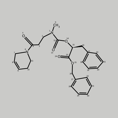 CN(CCC(=O)N1CC=CCC1)C(=O)O[C@@H](Cc1ccccc1)C(=O)OCc1ccccc1